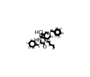 CCCCN1C(=O)[C@H](CC2CCCCC2)NC(=O)C12CCN(Cc1ccccc1)CC2C.Cl